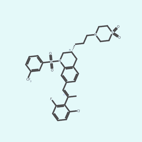 C/C(=C\c1ccc2c(c1)N(S(=O)(=O)c1cccc(C(F)(F)F)c1)C[C@H](CCCN1CCS(=O)(=O)CC1)C2)c1c(F)cccc1Cl